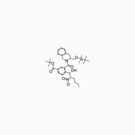 CCCCC(C(O)c1ccc(C(=O)OC(C)(C)C)cc1C(=O)N1Cc2ccccc2CC1CO[Si](C)(C)C(C)(C)C)[N+](=O)[O-]